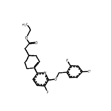 CCOC(=O)CC1CC=C(c2ccc(F)c(OCc3ccc(Cl)cc3F)n2)CC1